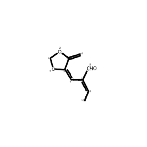 C=C1OCO/C1=C/C(C=O)=C\C